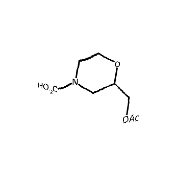 CC(=O)OCC1CN(C(=O)O)CCO1